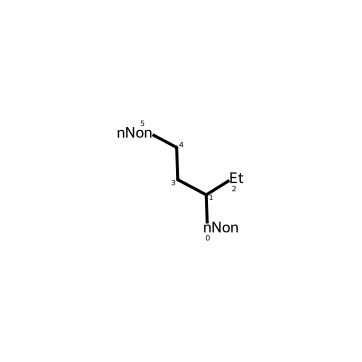 CC[CH]CCCCCCC(CC)CCCCCCCCCCC